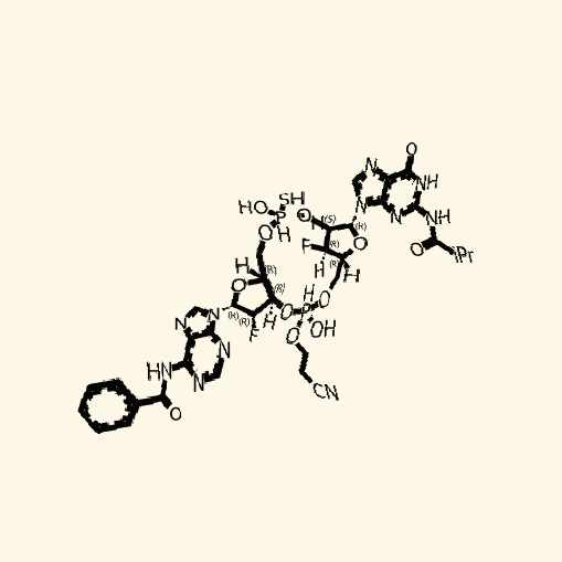 CC(C)C(=O)Nc1nc2c(ncn2[C@@H]2O[C@@H]3CO[PH](O)(OCCC#N)O[C@H]4[C@@H](F)[C@H](n5cnc6c(NC(=O)c7ccccc7)ncnc65)O[C@@H]4CO[PH](O)(S)O[C@@H]2[C@@H]3F)c(=O)[nH]1